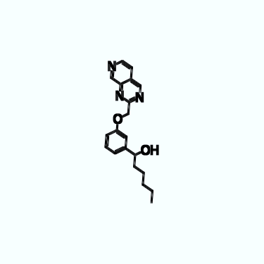 CCCCCC(O)c1cccc(OCc2ncc3ccncc3n2)c1